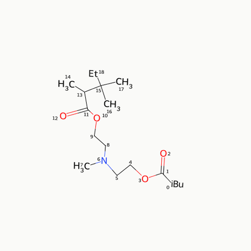 CCC(C)C(=O)OCCN(C)CCOC(=O)C(C)C(C)(C)CC